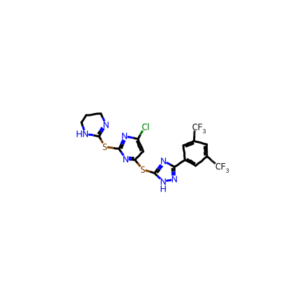 FC(F)(F)c1cc(-c2n[nH]c(Sc3cc(Cl)nc(SC4=NCCCN4)n3)n2)cc(C(F)(F)F)c1